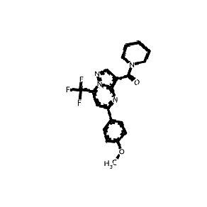 COc1ccc(-c2cc(C(F)(F)F)n3ncc(C(=O)N4CCCCC4)c3n2)cc1